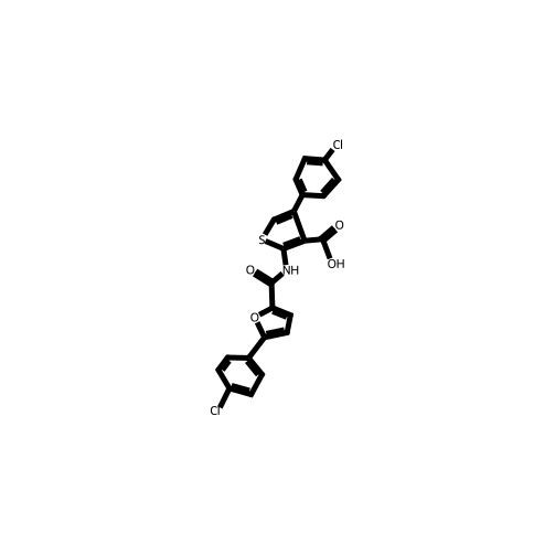 O=C(Nc1scc(-c2ccc(Cl)cc2)c1C(=O)O)c1ccc(-c2ccc(Cl)cc2)o1